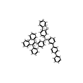 c1ccc(-c2ccc(-c3cccc(N(c4cccc(-c5c(-c6ccccc6)c6ccccc6c6ccccc56)c4)c4ccc5c(c4)oc4ccccc45)c3)cc2)cc1